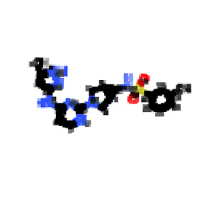 Cc1cc(Nc2ccnc(N3CC4C(C3)C4NS(=O)(=O)c3cccc(C#N)c3)n2)n[nH]1